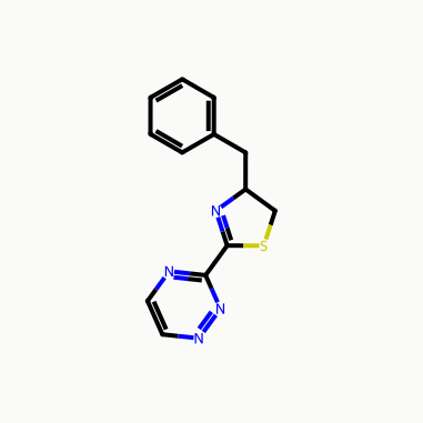 c1ccc(CC2CSC(c3nccnn3)=N2)cc1